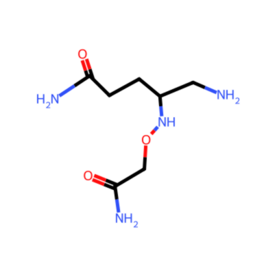 NCC(CCC(N)=O)NOCC(N)=O